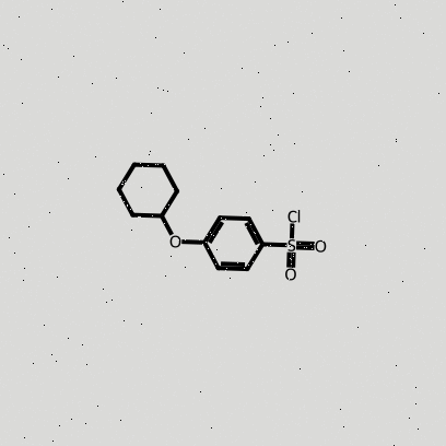 O=S(=O)(Cl)c1ccc(OC2CCCCC2)cc1